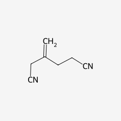 C=C(CC#N)CCC#N